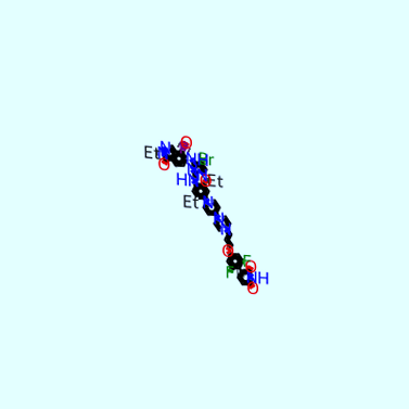 CCOc1cc(N2CCC(N3CCN(CCCOc4cc(F)c([C@H]5CCC(=O)NC5=O)c(F)c4)CC3)CC2)c(CC)cc1Nc1ncc(Br)c(Nc2ccc3c(=O)n(CC)ncc3c2P(C)(C)=O)n1